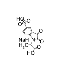 CC(C(=O)O)N1C(=O)C(=O)c2cc(S(=O)(=O)O)ccc21.[NaH]